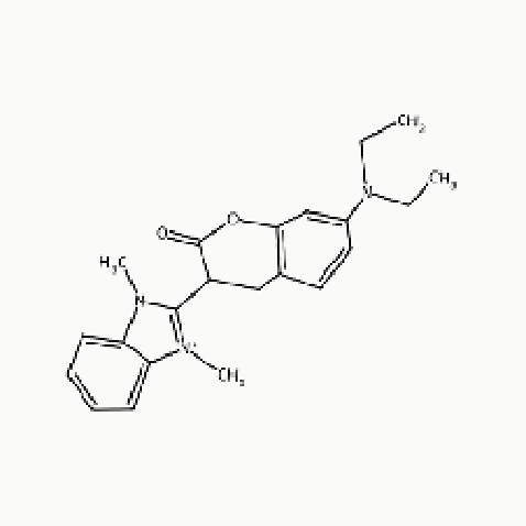 CCN(CC)c1ccc2c(c1)OC(=O)C(c1n(C)c3ccccc3[n+]1C)C2